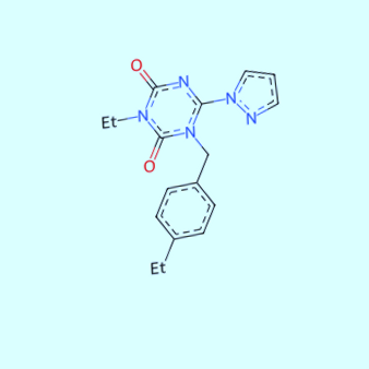 CCc1ccc(Cn2c(-n3cccn3)nc(=O)n(CC)c2=O)cc1